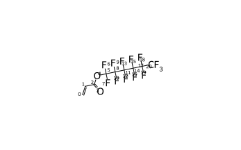 C=CC(=O)OC(F)(F)C(F)(F)C(F)(F)C(F)(F)C(F)(F)C(F)(F)F